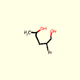 [CH2]C(C)C(CO)CC(C)O